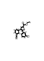 CCOC(=O)c1cc(-c2cccc(C#N)c2)c(-c2cccc(Cl)c2)s1